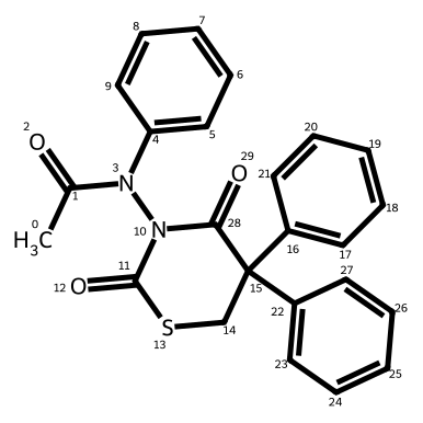 CC(=O)N(c1ccccc1)N1C(=O)SCC(c2ccccc2)(c2ccccc2)C1=O